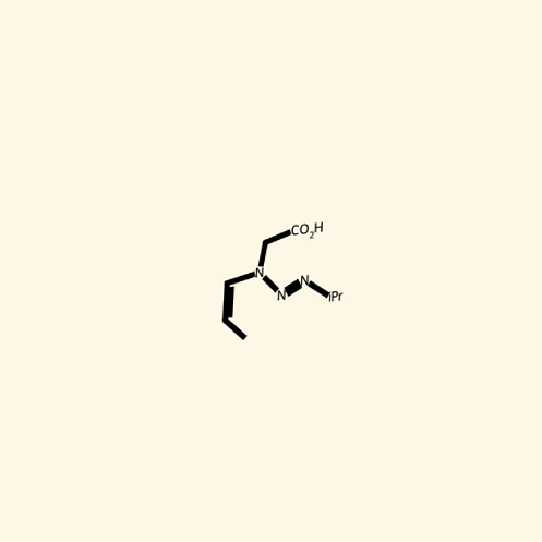 C/C=C\N(CC(=O)O)/N=N/C(C)C